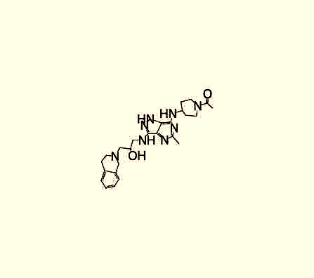 CC(=O)N1CCC(Nc2nc(C)nc3c(NC[C@@H](O)CN4CCc5ccccc5C4)n[nH]c23)CC1